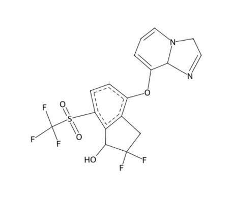 O=S(=O)(c1ccc(OC2=CC=CN3CC=NC23)c2c1C(O)C(F)(F)C2)C(F)(F)F